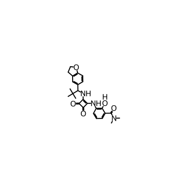 CN(C)C(=O)c1cccc(Nc2c(NC(c3ccc4c(c3)CCO4)C(C)(C)C)c(=O)c2=O)c1O